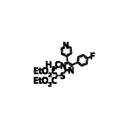 CCOC(=O)C(Sc1nc(-c2ccc(F)cc2)c(-c2ccncc2)n1C)C(=O)OCC